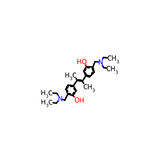 CCN(CC)Cc1ccc(/C(C)=C(\C)c2ccc(CN(CC)CC)c(O)c2)cc1O